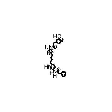 O=C(Cc1ccccc1)NC1=CC=C(CCCCc2nnc(NC(=O)Cc3ccc(F)c(O)c3)s2)NN1